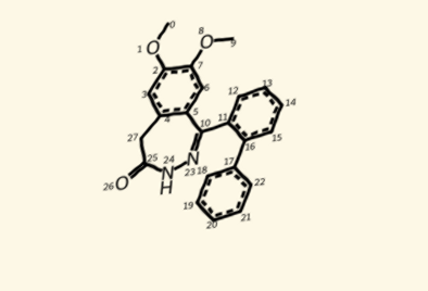 COc1cc2c(cc1OC)C(c1ccccc1-c1ccccc1)=NNC(=O)C2